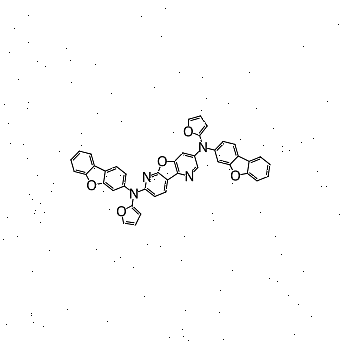 c1coc(N(c2ccc3c(c2)oc2ccccc23)c2cnc3c(c2)oc2nc(N(c4ccc5c(c4)oc4ccccc45)c4ccco4)ccc23)c1